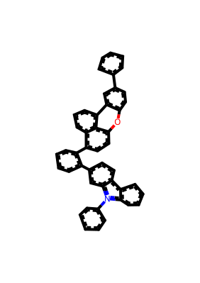 c1ccc(-c2ccc3c(c2)-c2cccc4c(-c5ccccc5-c5ccc6c7ccccc7n(-c7ccccc7)c6c5)ccc(c24)O3)cc1